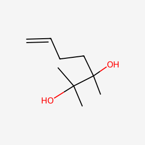 C=CCCC(C)(O)C(C)(C)O